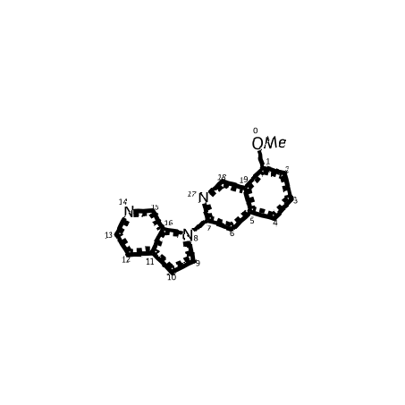 COc1cccc2cc(-n3ccc4ccncc43)ncc12